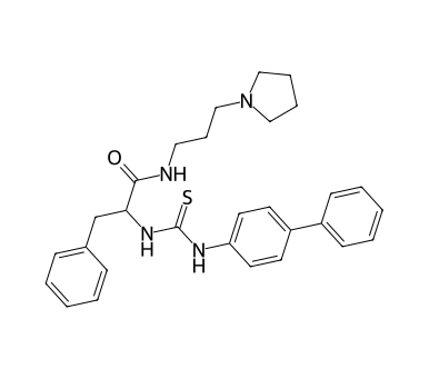 O=C(NCCCN1CCCC1)C(Cc1ccccc1)NC(=S)Nc1ccc(-c2ccccc2)cc1